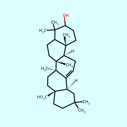 CC1(C)CC[C@]2(C(=O)O)CC[C@]3(C)C(=CC[C@@H]4[C@@]5(C)CCC(O)C(C)(C)C5CC[C@]43C)[C@H]2C1